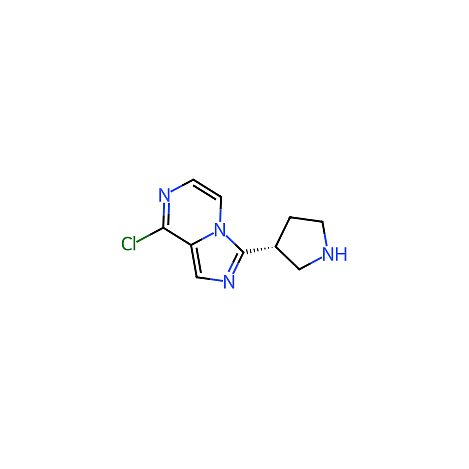 Clc1nccn2c([C@@H]3CCNC3)ncc12